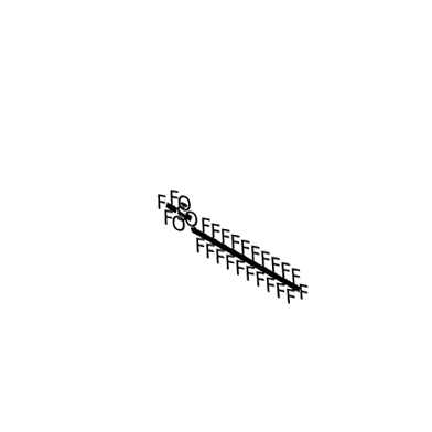 O=S(=O)(OCC(F)(F)C(F)(F)C(F)(F)C(F)(F)C(F)(F)C(F)(F)C(F)(F)C(F)(F)C(F)(F)C(F)(F)F)C(F)(F)F